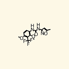 COc1ccc(NC(=O)Nc2cc(C)on2)c(OC)c1C(F)(F)F